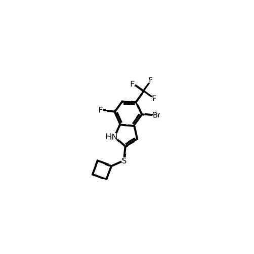 Fc1cc(C(F)(F)F)c(Br)c2cc(SC3CCC3)[nH]c12